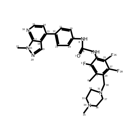 Cc1c(F)c(NC(=O)Nc2ccc(-c3ccnc4c3cnn4C)cc2)c(F)c(F)c1CN1CCN(C)CC1